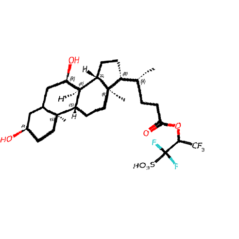 C[C@H](CCC(=O)OC(C(F)(F)F)C(F)(F)S(=O)(=O)O)[C@H]1CC[C@H]2[C@@H]3[C@H](O)CC4C[C@H](O)CC[C@]4(C)[C@H]3CC[C@]12C